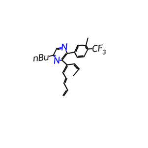 C=C/C=C/C=C(\C=C/C)c1nc(CCCC)cnc1-c1ccc(C(F)(F)F)c(C)c1